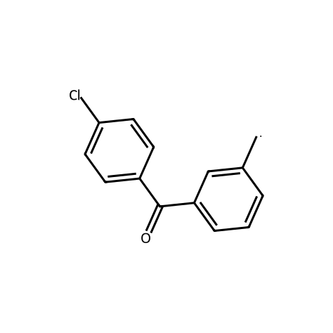 [CH2]c1cccc(C(=O)c2ccc(Cl)cc2)c1